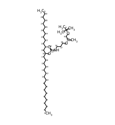 CCCCCCCCCCCCCCCCCCC(CCCCCCCCCCCCC)OC(=O)NCCCON(C)COC(C)(C)C